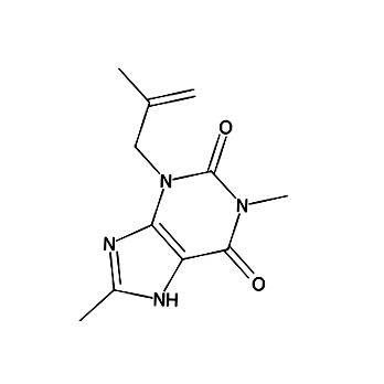 C=C(C)Cn1c(=O)n(C)c(=O)c2[nH]c(C)nc21